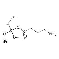 CC(C)O[Si](O[SiH2]CCCN)(OC(C)C)OC(C)C